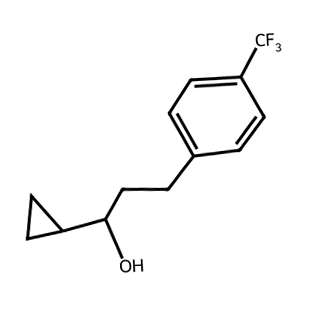 OC(CCc1ccc(C(F)(F)F)cc1)C1CC1